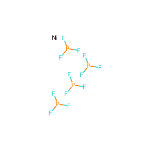 FP(F)F.FP(F)F.FP(F)F.FP(F)F.[Ni]